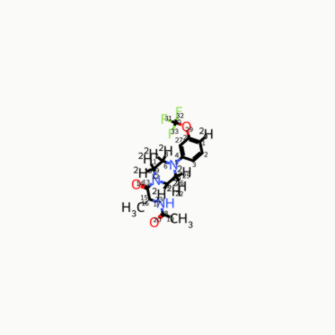 [2H]c1ccc(N2C([2H])([2H])C([2H])([2H])N(C(=O)[C@@H](C)NC(C)=O)C([2H])([2H])C2([2H])[2H])cc1OC(F)(F)F